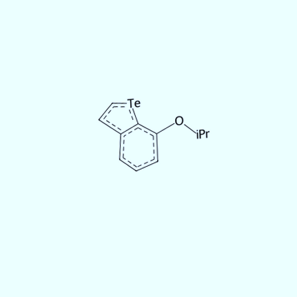 CC(C)Oc1cccc2cc[te]c12